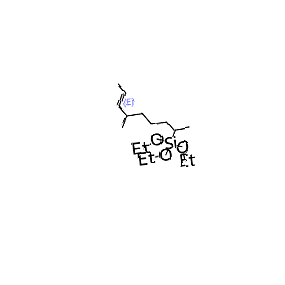 C/C=C/C(C)CCCC(C)[Si](OCC)(OCC)OCC